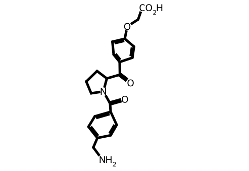 NCc1ccc(C(=O)N2CCCC2C(=O)c2ccc(OCC(=O)O)cc2)cc1